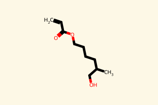 C=CC(=O)OCCCCC(C)CO